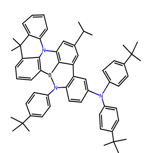 CC(C)c1cc2c3c(c1)N1c4ccccc4C(C)(C)c4cccc(c41)B3N(c1ccc(C(C)(C)C)cc1)c1ccc(N(c3ccc(C(C)(C)C)cc3)c3ccc(C(C)(C)C)cc3)cc1-2